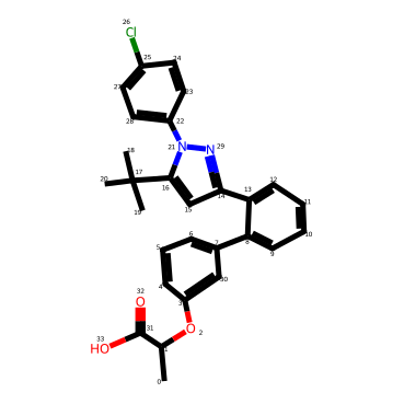 CC(Oc1cccc(-c2ccccc2-c2cc(C(C)(C)C)n(-c3ccc(Cl)cc3)n2)c1)C(=O)O